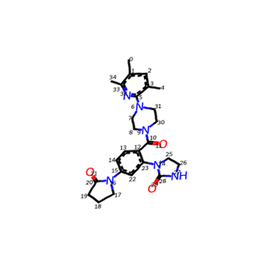 Cc1cc(C)c(N2CCN(C(=O)c3ccc(N4CCCC4=O)cc3N3CCNC3=O)CC2)nc1C